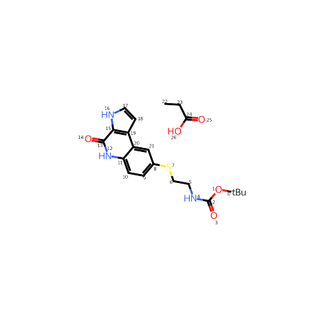 CC(C)(C)OC(=O)NCCSc1ccc2[nH]c(=O)c3[nH]ccc3c2c1.CCC(=O)O